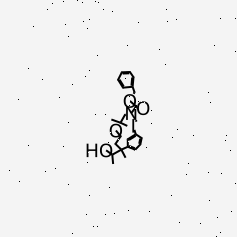 CC(O)C(C)(CCOC(C)(C)CN(C)C(=O)OCc1ccccc1)c1cccc(I)c1